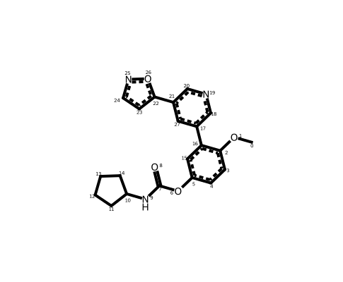 COc1ccc(OC(=O)NC2CCCC2)cc1-c1cncc(-c2ccno2)c1